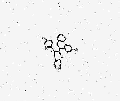 O=C(C(Cc1ccncc1)c1ccc(Br)cn1)C(Cc1ccncc1)c1ccc(Br)cn1